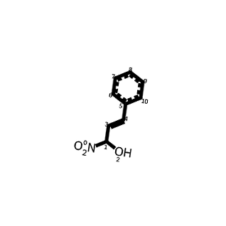 O=[N+]([O-])C(O)C=Cc1ccccc1